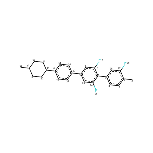 Cc1ccc(-c2c(F)cc(-c3ccc(C4CCC(C)CC4)cc3)cc2F)cc1F